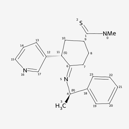 CNC=S.C[C@@H](N=C1CCCC[C@H]1c1cccnc1)c1ccccc1